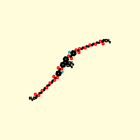 C=CC(=O)OCCOCCOCCOCCOC(=O)Oc1ccc(C(=O)Oc2ccc3c(c2)C(C)(C)c2cc(OC(=O)c4ccc(OC(=O)OCCOCCOCCOCCOC(=O)C=C)cc4F)ccc2-3)c(F)c1